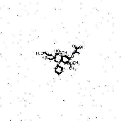 CCCC[C@]1(CC)CN(c2ccccc2)c2cc(N(C)C)c(O/C=C(\F)C(=O)O)cc2S(O)(O)C1